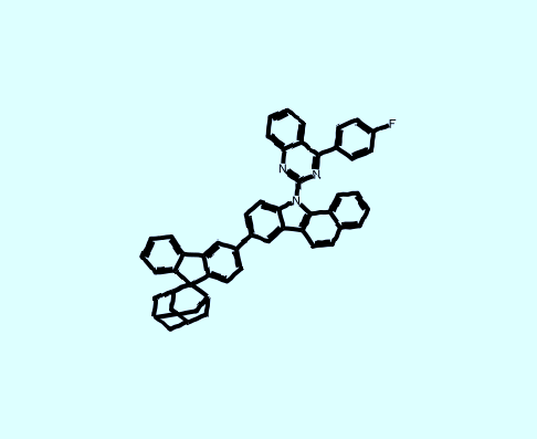 Fc1ccc(-c2nc(-n3c4ccc(-c5ccc6c(c5)-c5ccccc5C65C6CC7CC(C6)CC5C7)cc4c4ccc5ccccc5c43)nc3ccccc23)cc1